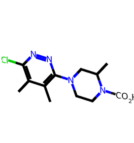 Cc1c(Cl)nnc(N2CCN(C(=O)O)C(C)C2)c1C